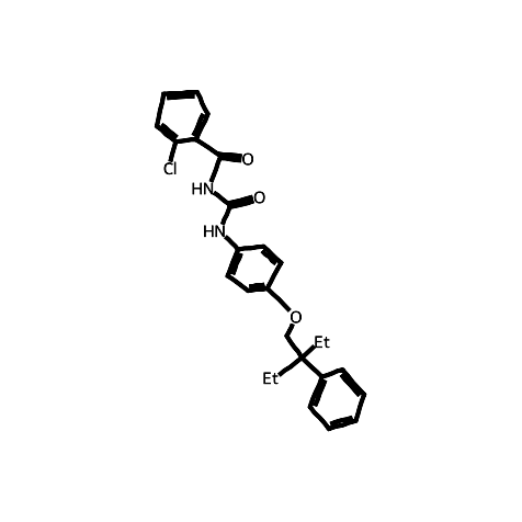 CCC(CC)(COc1ccc(NC(=O)NC(=O)c2ccccc2Cl)cc1)c1ccccc1